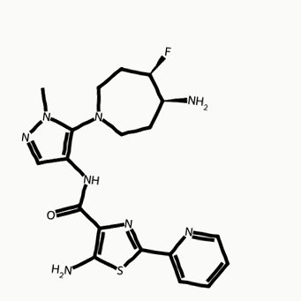 Cn1ncc(NC(=O)c2nc(-c3ccccn3)sc2N)c1N1CC[C@@H](F)[C@@H](N)CC1